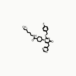 CCCCCCNC(=O)C1CCC(n2cc(Cc3cncnc3)c(=O)nc2SCc2ccc(F)cc2)CC1